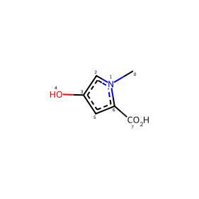 Cn1cc(O)cc1C(=O)O